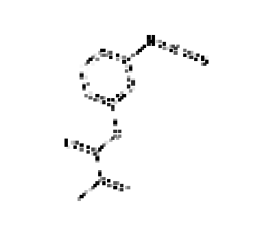 C=C(C)C(=O)Oc1cccc(N=C=S)c1